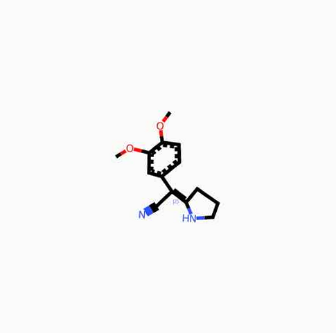 COc1ccc(/C(C#N)=C2\CCCN2)cc1OC